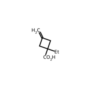 C=C1CC(CC)(C(=O)O)C1